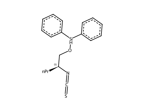 CCC[C@@H](CO[SiH](c1ccccc1)c1ccccc1)N=C=S